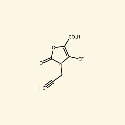 C#CCn1c(C(F)(F)F)c(C(=O)O)oc1=O